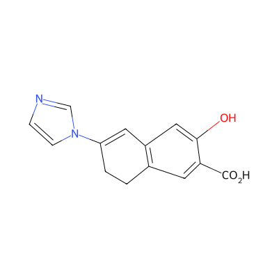 O=C(O)c1cc2c(cc1O)C=C(n1ccnc1)CC2